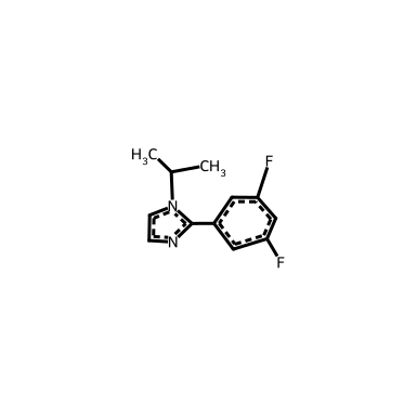 CC(C)n1ccnc1-c1cc(F)cc(F)c1